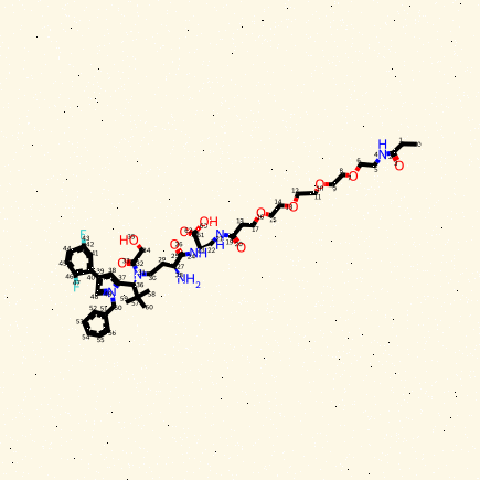 CCC(=O)NCCOCCOCCOCCOCCC(=O)NC[C@@H](NC(=O)[C@@H](N)CCN(C(=O)CO)[C@@H](c1cc(-c2cc(F)ccc2F)cn1Cc1ccccc1)C(C)(C)C)C(=O)O